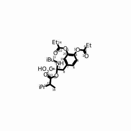 CCC(=O)Oc1ccc(C[C@](NC(C)CC)(OC(=O)C(C)C(C)C)C(=O)O)cc1OC(=O)CC